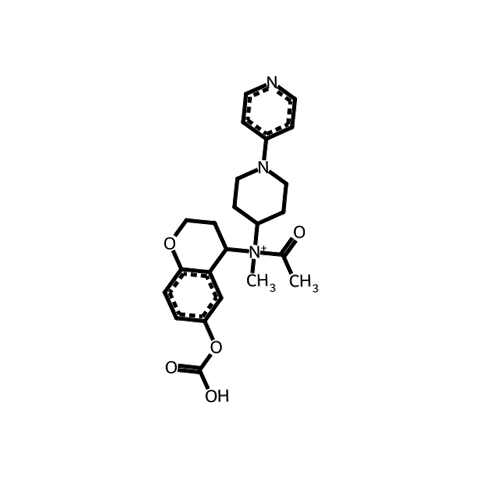 CC(=O)[N+](C)(C1CCN(c2ccncc2)CC1)C1CCOc2ccc(OC(=O)O)cc21